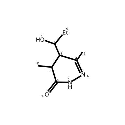 CCC(O)C1C(C)=NNC(=O)C1C